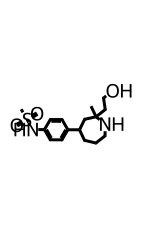 CC1(CCO)CC(c2ccc(NS(C)(=O)=O)cc2)CCCN1